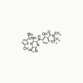 Cc1ccc([C@H](Nc2nc3c(nc2Nc2ccc(C(F)(F)F)c(C(=O)N(C)C)c2O)=NCN=3)C(C)(C)C)s1